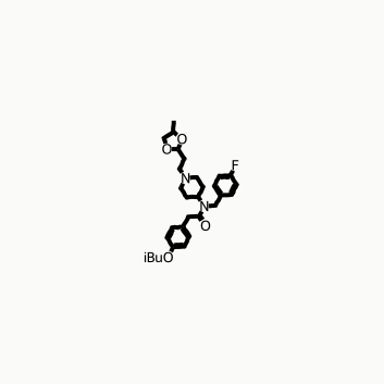 CC(C)COc1ccc(CC(=O)N(Cc2ccc(F)cc2)C2CCN(CCC3OCC(C)O3)CC2)cc1